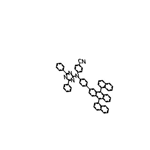 N#Cc1ccc(N(c2ccc(-c3ccc4c(-c5cccc6ccccc56)c5ccccc5c(-c5cccc6ccccc56)c4c3)cc2)c2nc(-c3ccccc3)nc(-c3ccccc3)n2)cc1